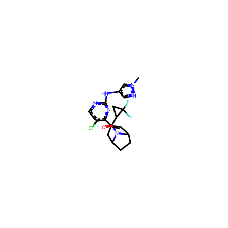 Cn1cc(Nc2ncc(Cl)c(C3=CC4CCC(C3)N4C(=O)C3CC3(F)F)n2)cn1